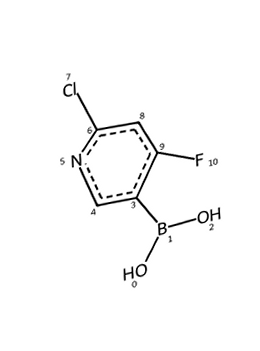 OB(O)c1cnc(Cl)cc1F